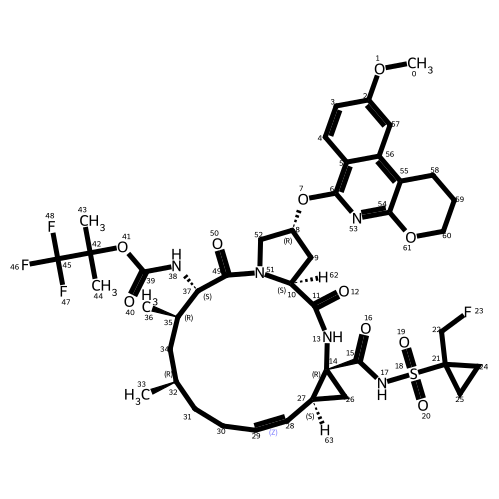 COc1ccc2c(O[C@@H]3C[C@H]4C(=O)N[C@]5(C(=O)NS(=O)(=O)C6(CF)CC6)C[C@H]5/C=C\CC[C@@H](C)C[C@@H](C)[C@H](NC(=O)OC(C)(C)C(F)(F)F)C(=O)N4C3)nc3c(c2c1)CCCO3